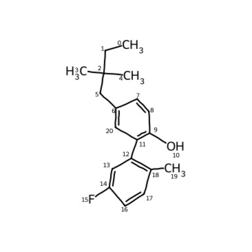 CCC(C)(C)Cc1ccc(O)c(-c2cc(F)ccc2C)c1